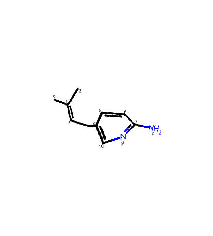 CC(C)=Cc1ccc(N)nc1